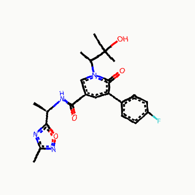 Cc1noc([C@@H](C)NC(=O)c2cc(-c3ccc(F)cc3)c(=O)n(C(C)C(C)(C)O)c2)n1